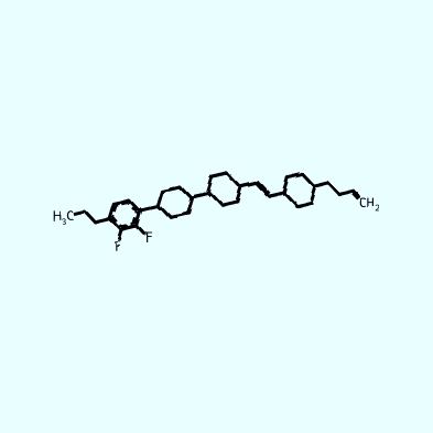 C=CCCC1CCC(/C=C/C2CCC(C3CCC(c4ccc(CCC)c(F)c4F)CC3)CC2)CC1